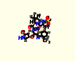 CC(C)[C@H](NS(C)(=O)=O)C(=O)N1C[C@H]2[C@@H]([C@H]1C(=O)N[C@@H](C[C@@H]1CCNC1=O)C(=O)c1nc3c(C(F)(F)F)cccc3s1)C2(C)C